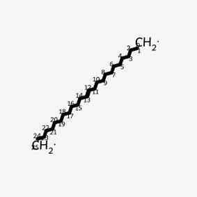 [CH2]CCCCCCCCCCCC=CCCCCCCCCCCC[CH2]